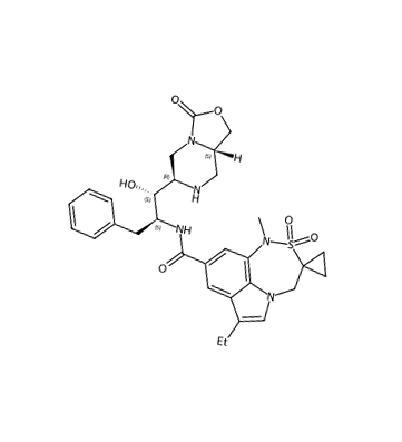 CCc1cn2c3c(cc(C(=O)N[C@@H](Cc4ccccc4)[C@H](O)[C@H]4CN5C(=O)OC[C@@H]5CN4)cc13)N(C)S(=O)(=O)C1(CC1)C2